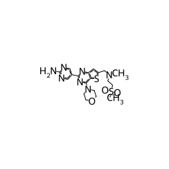 CN(CCS(C)(=O)=O)Cc1cc2nc(-c3cnc(N)nc3)nc(N3CCOCC3)c2s1